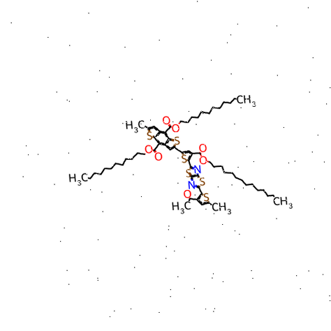 CCCCCCCCCCCCCCOC(=O)c1cc(-c2cc3c(C(=O)OCCCCCCCCCCCC)c4sc(C)cc4c(C(=O)OCCCCCCCCCCCC)c3s2)sc1-c1nc2sc(-c3sc(C)cc3C(C)=O)nc2s1